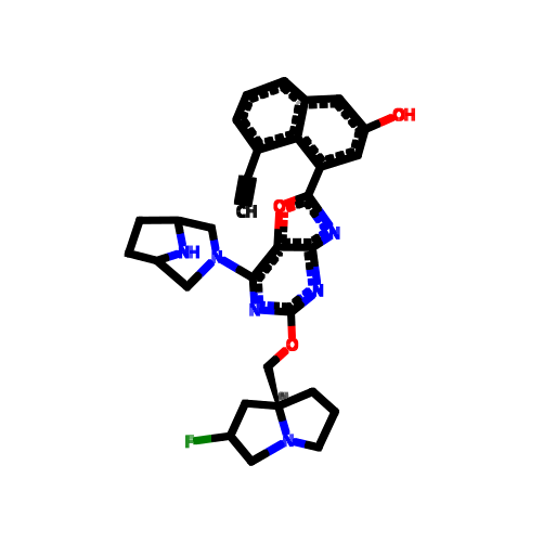 C#Cc1cccc2cc(O)cc(-c3nc4nc(OC[C@@]56CCCN5CC(F)C6)nc(N5CC6CCC(C5)N6)c4o3)c12